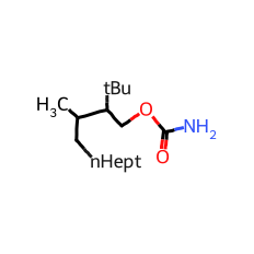 CCCCCCCCC(C)C(COC(N)=O)C(C)(C)C